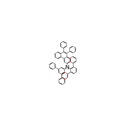 c1ccc(-c2cc(-c3ccccc3)cc(N(c3ccc4c(-c5ccccc5)c(-c5ccccc5)c5ccccc5c4c3)c3c(-c4ccccc4)cccc3-c3ccccc3)c2)cc1